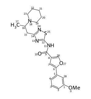 COc1cccc(-c2cc(C(=O)Nc3nc(CC(C)N4CCCCC4)ns3)co2)c1